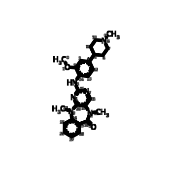 COc1cc(C2CCN(C)CC2)ccc1Nc1ncc2c(n1)N(C)c1ccccc1C(=O)N2C